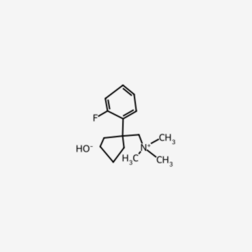 C[N+](C)(C)CC1(c2ccccc2F)CCCC1.[OH-]